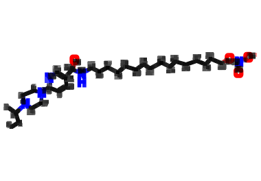 CCC(C)N1CCN(c2ccc(C(=O)NCCCCCCCCCCCCCCCCO[N+](=O)[O-])cn2)CC1